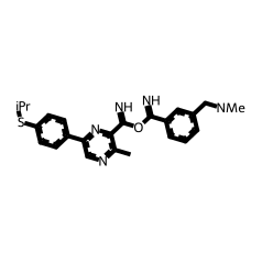 CNCc1cccc(C(=N)OC(=N)c2nc(-c3ccc(SC(C)C)cc3)cnc2C)c1